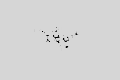 CCOC(=O)[C@@H]1C[C@H]1Cn1c(=O)n([C@@H]2O[C@H](COC(C)=O)C[C@H]2OC(C)=O)c2nc(N)ncc21